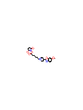 COc1ccc2nc(-c3cc[n+](CCCCCC(=O)ON4C(=O)CCC4=O)cc3)oc2c1